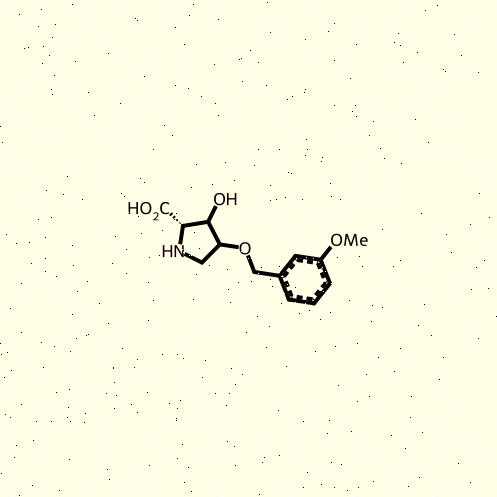 COc1cccc(COC2CN[C@H](C(=O)O)C2O)c1